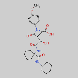 COc1ccc(N2C(=O)C(C(O)C(=O)NC3(C(=O)NC4CCCCC4)CCCCC3)C2C(=O)O)cc1